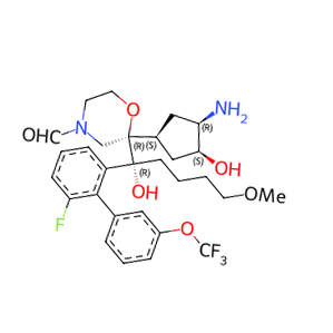 COCCCC[C@@](O)(c1cccc(F)c1-c1cccc(OC(F)(F)F)c1)[C@@]1([C@H]2C[C@@H](N)[C@@H](O)C2)CN(C=O)CCO1